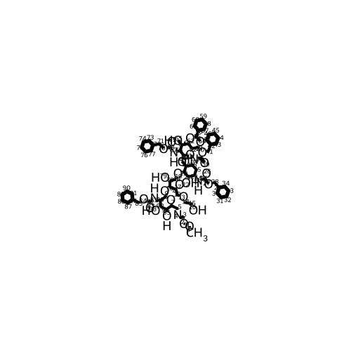 COO/C=N/CC1OC(OC2C(COCCO)OC(OC3C(O)C(NC(=O)OCc4ccccc4)CC(NC(=O)OCc4ccccc4)C3OC3OC4COC(c5ccccc5)OC4C(O)C3NC(=O)OCc3ccccc3)C2O)C(NC(=O)OCc2ccccc2)C(O)C1O